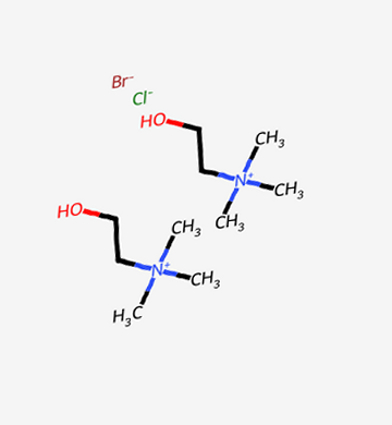 C[N+](C)(C)CCO.C[N+](C)(C)CCO.[Br-].[Cl-]